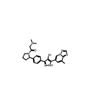 Cc1cc(-c2[nH]nc(-c3ccc(C4CCCN4C(=O)CN(C)C)cc3)c2C(C)C)cn2ncnc12